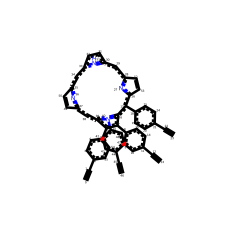 C#Cc1ccc(-c2c(-c3ccc(C#C)cc3)c3c(-c4ccc(C#C)cc4)c4nc(cc5ccc(cc6nc(cc2n3-c2ccc(C#C)cc2)C=C6)[nH]5)C=C4)cc1